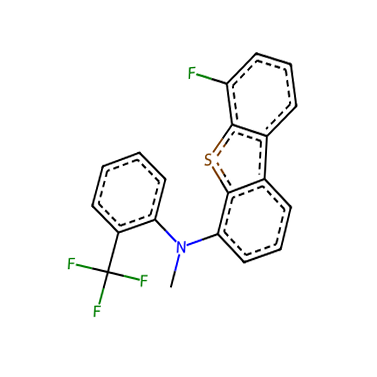 CN(c1ccccc1C(F)(F)F)c1cccc2c1sc1c(F)cccc12